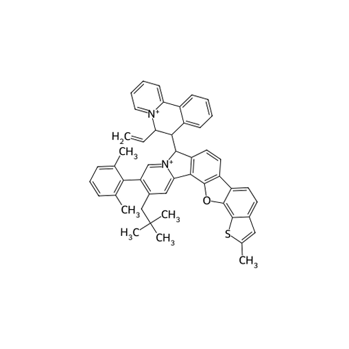 C=CC1C(C2c3ccc4c(oc5c4ccc4cc(C)sc45)c3-c3cc(CC(C)(C)C)c(-c4c(C)cccc4C)c[n+]32)c2ccccc2-c2cccc[n+]21